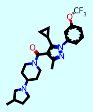 Cc1nn(-c2cccc(OC(F)(F)F)c2)c(C2CC2)c1C(=O)N1CCC(N2CCC(C)C2)CC1